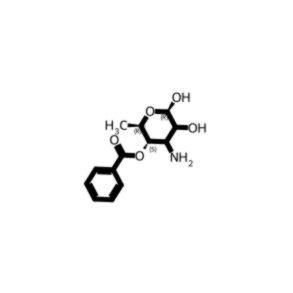 C[C@H]1O[C@@H](O)C(O)C(N)[C@@H]1OC(=O)c1ccccc1